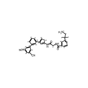 CC(C)(CN)c1cccc(C(=O)NCC(=O)Nc2nc(-c3cccc(-c4cc(C#N)cc(C#N)c4)c3)cs2)c1